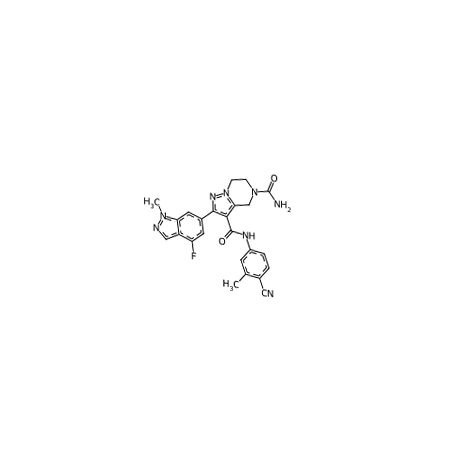 Cc1cc(NC(=O)c2c(-c3cc(F)c4cnn(C)c4c3)nn3c2CN(C(N)=O)CC3)ccc1C#N